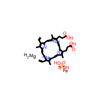 C=CC1=C(C)c2cc3[nH]c(cc4nc(cc5[nH]c(cc1n2)c(C)c5CCC(=O)O)C(CCC(=O)O)=C4C)c(C)c3C=C.O=S(=O)(O)O.[Fe].[MgH2]